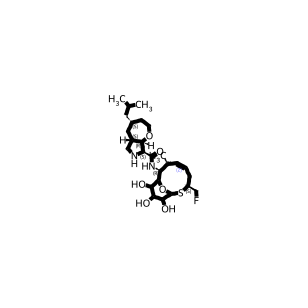 CC(C)C[C@@H]1CCO[C@@H]2[C@H](CN[C@@H]2C(=O)N[C@H]2C3OC(S[C@H](CF)C/C=C\[C@H]2C)C(O)C(O)C3O)C1